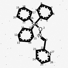 C(=NO[Si](c1ccccc1)(c1ccccc1)c1ccccc1)c1ccccn1